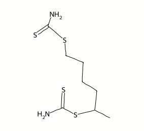 CC(CCCCSC(N)=S)SC(N)=S